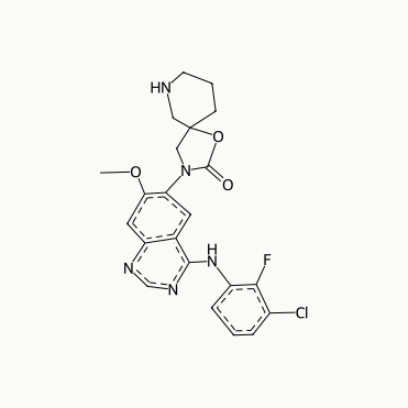 COc1cc2ncnc(Nc3cccc(Cl)c3F)c2cc1N1CC2(CCCNC2)OC1=O